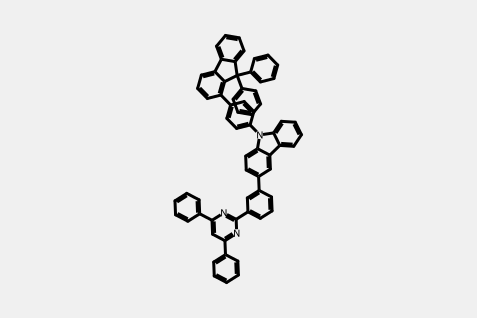 c1ccc(-c2cc(-c3ccccc3)nc(-c3cccc(-c4ccc5c(c4)c4ccccc4n5-c4ccc(-c5cccc6c5C(c5ccccc5)(c5ccccc5)c5ccccc5-6)cc4)c3)n2)cc1